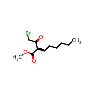 CCCCC/C=C(\C(=O)CBr)C(=O)OC